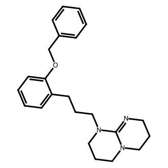 c1ccc(COc2ccccc2CCCN2CCCN3CCCN=C32)cc1